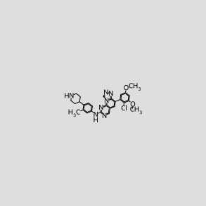 COc1cc(OC)c(Cl)c(-c2cc3cnc(Nc4ccc(C5CCNCC5)c(C)c4)nc3n3cnnc23)c1